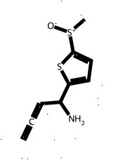 C=C=CC(N)c1ccc([S+](C)[O-])s1